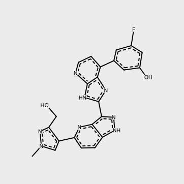 Cn1cc(-c2ccc3[nH]nc(-c4nc5c(-c6cc(O)cc(F)c6)ccnc5[nH]4)c3n2)c(CO)n1